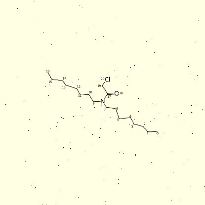 CCCCCCCCN(CCCCCCCC)C(=O)CCl